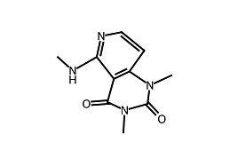 CNc1nccc2c1c(=O)n(C)c(=O)n2C